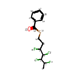 CC(F)C(F)C(F)C(F)CCSC(=O)c1ccccc1